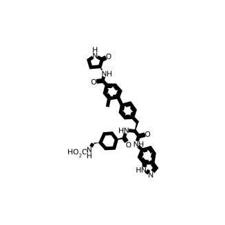 Cc1cc(C(=O)N[C@@H]2CCNC2=O)ccc1-c1ccc(C[C@H](NC(=O)[C@H]2CC[C@H](CNC(=O)O)CC2)C(=O)Nc2ccc3cn[nH]c3c2)cc1